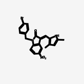 Cc1cc(C)c(C=C2C(=O)N(Cc3ccc(Br)cc3)c3ccc([N+](=O)[O-])cc32)[nH]1